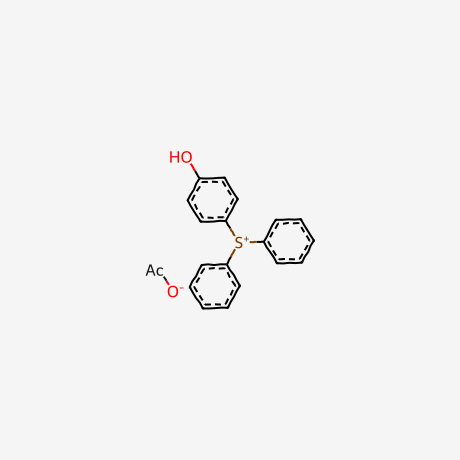 CC(=O)[O-].Oc1ccc([S+](c2ccccc2)c2ccccc2)cc1